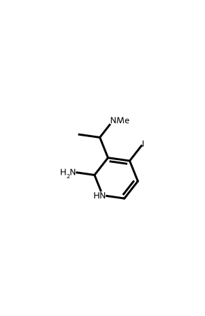 CNC(C)C1=C(I)C=CNC1N